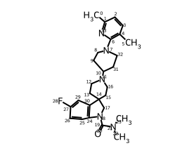 Cc1ccc(C)c(N2CCC(N3CCC4(CC3)CN(C(=O)N(C)C)c3ccc(F)cc34)CC2)n1